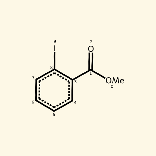 [CH2]OC(=O)c1ccccc1I